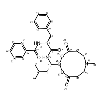 CC(C)C[C@H](NC(=O)[C@H](Cc1ccccc1)NC(=O)c1cnccn1)B1OC(=O)CCN(C)CCC(=O)O1